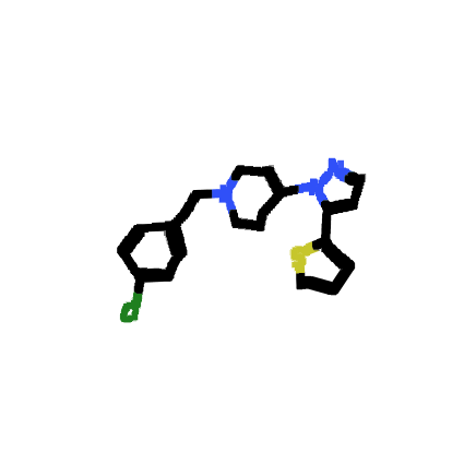 Clc1ccc(CN2CCC(n3nccc3-c3cccs3)CC2)cc1